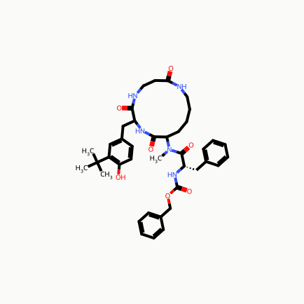 CN(C(=O)[C@H](Cc1ccccc1)NC(=O)OCc1ccccc1)C1CCCCNC(=O)CCNC(=O)C(Cc2ccc(O)c(C(C)(C)C)c2)NC1=O